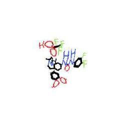 COc1ccc([C@@]23CC[C@@H](NC(=O)Nc4ccc(F)c(F)c4)C[C@@H]2N(C(C)C)CC3)cc1OC.O=C(O)C(F)(F)F